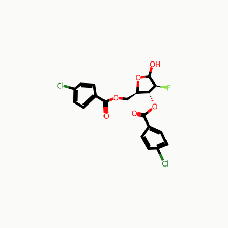 O=C(OC[C@H]1OC(O)[C@@H](F)[C@@H]1OC(=O)c1ccc(Cl)cc1)c1ccc(Cl)cc1